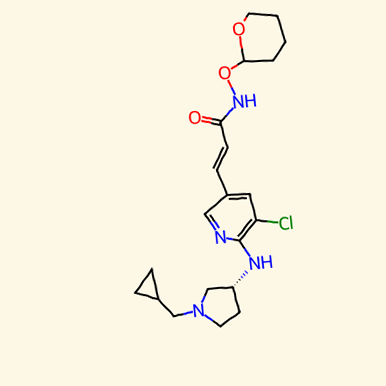 O=C(C=Cc1cnc(N[C@@H]2CCN(CC3CC3)C2)c(Cl)c1)NOC1CCCCO1